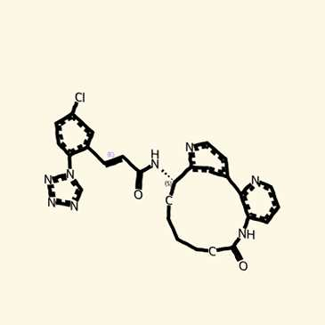 O=C(/C=C/c1cc(Cl)ccc1-n1cnnn1)N[C@H]1CCCCCC(=O)Nc2cccnc2-c2ccnc1c2